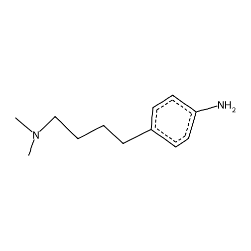 CN(C)CCCCc1ccc(N)cc1